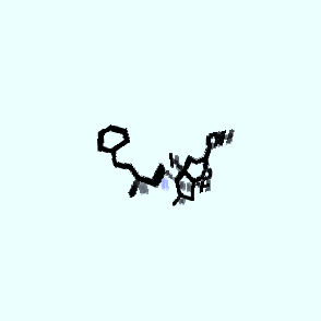 C[C@H](/C=C/[C@@H]1[C@H]2CC(O)O[C@H]2C[C@H]1C)CCc1ccccc1